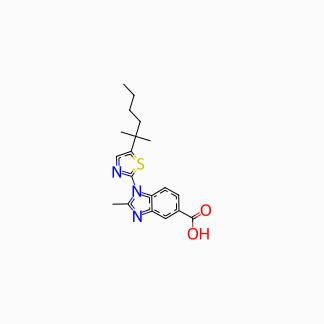 CCCCC(C)(C)c1cnc(-n2c(C)nc3cc(C(=O)O)ccc32)s1